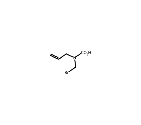 C=CCN(CBr)C(=O)O